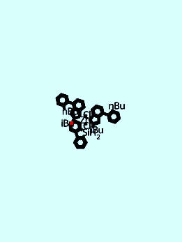 CCCCc1ccccc1-c1cccc2c1C=C(C(C)CC)[CH]2[Zr]([Cl])([Cl])([c]1cccc2c1[SiH2]c1ccccc1-2)[CH]1C(C(C)CC)=Cc2c(-c3ccccc3CCCC)cccc21